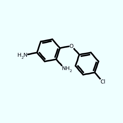 Nc1ccc(Oc2ccc(Cl)cc2)c(N)c1